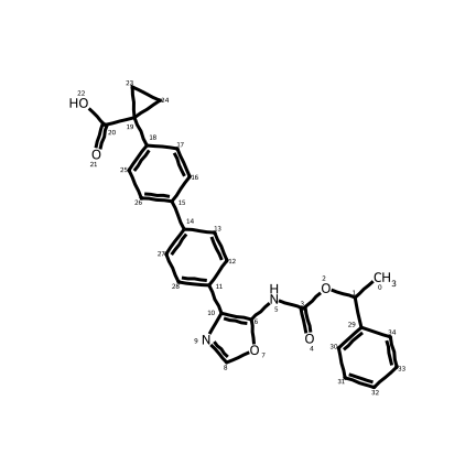 CC(OC(=O)Nc1ocnc1-c1ccc(-c2ccc(C3(C(=O)O)CC3)cc2)cc1)c1ccccc1